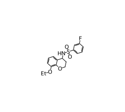 CCOc1cccc2c1OCCC2NS(=O)(=O)c1cccc(F)c1